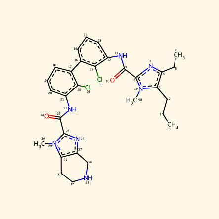 CCCc1c(CC)nc(C(=O)Nc2cccc(-c3cccc(NC(=O)c4nc5c(n4C)CCNC5)c3Cl)c2Cl)n1C